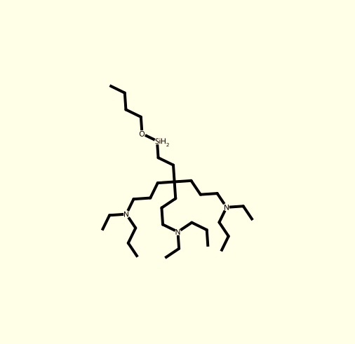 CCCCO[SiH2]CCC(CCCN(CC)CCC)(CCCN(CC)CCC)CCCN(CC)CCC